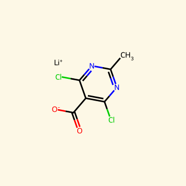 Cc1nc(Cl)c(C(=O)[O-])c(Cl)n1.[Li+]